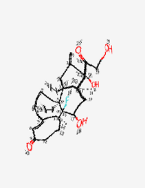 C=C1C[C@H]2[C@@H]3C=CC4=CC(=O)CC[C@]4(C)[C@@]3(F)C(O)C[C@]2(C)[C@@]1(O)C(=O)CO